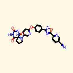 N#Cc1ccc(-c2nc(-c3ccc(Oc4ccc(N5CCCC56C(=O)NC(=O)NC6=O)cn4)cc3)no2)nc1